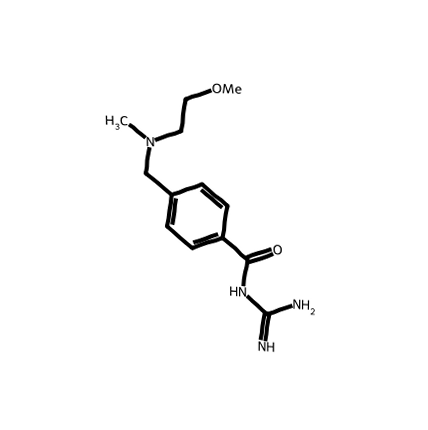 COCCN(C)Cc1ccc(C(=O)NC(=N)N)cc1